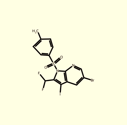 Cc1ccc(S(=O)(=O)n2c(C(F)F)c(I)c3cc(Br)cnc32)cc1